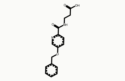 O=C(O)CCNC(=O)c1ccc(OCc2ccccc2)cn1